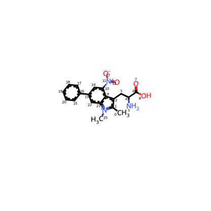 Cc1c(CC(N)C(=O)O)c2c([N+](=O)[O-])cc(-c3ccccc3)cc2n1C